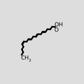 CCCCC/C=C\C/C=C/C/C=C/C/C=C/CCCC(=O)O